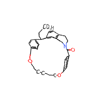 O=C(O)CC1c2ccc(cc2)OCCCCCCOc2ccc(cc2)C(=O)N2CCc3ccc1cc3C2